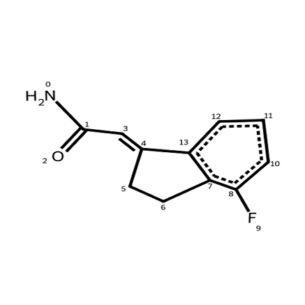 NC(=O)C=C1CCc2c(F)cccc21